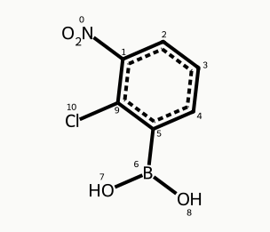 O=[N+]([O-])c1cccc(B(O)O)c1Cl